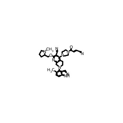 Cc1ccc2[nH]ncc2c1N1CCc2c(nc(OCC3CCCN3C)c(C#N)c2N2CCN(C(=O)C=CC#N)CC2)C1